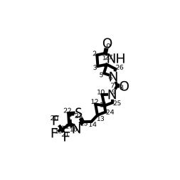 O=C1CCC2(CN(C(=O)N3CC4(CC(Cc5nc(C(F)(F)F)cs5)C4)C3)C2)N1